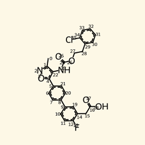 Cc1noc(-c2ccc(-c3ccc(F)c(CC(=O)O)c3)cc2)c1NC(=O)OCCc1ccccc1Cl